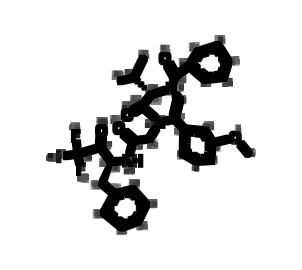 COc1cccc(C2=CN(C(=O)c3ccccc3)[C@@H](C(C)C)C(=O)N2CC(=O)N[C@@H](Cc2ccccc2)C(=O)C(F)(F)F)c1